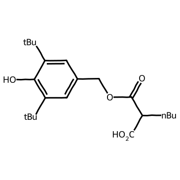 CCCCC(C(=O)O)C(=O)OCc1cc(C(C)(C)C)c(O)c(C(C)(C)C)c1